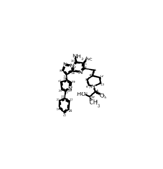 CC(=O)c1c(CC2CCN(C(=O)[C@@H](C)O)CC2)nc2c(-c3ccc(-c4ccccc4)nc3)cnn2c1N